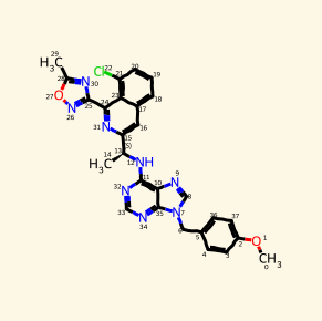 COc1ccc(Cn2cnc3c(N[C@@H](C)c4cc5cccc(Cl)c5c(-c5noc(C)n5)n4)ncnc32)cc1